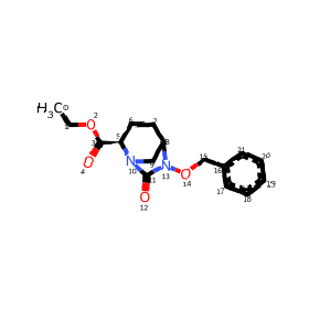 CCOC(=O)[C@H]1CCC2CN1C(=O)N2OCc1ccccc1